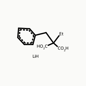 CCC(Cc1ccccc1)(C(=O)O)C(=O)O.[LiH]